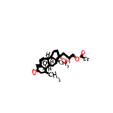 CCC(=O)OCCC[C@]1(O)CC[C@H]2[C@@H]3CCC4=CC(=O)CC(C)[C@]4(C)[C@H]3CC[C@@]21C